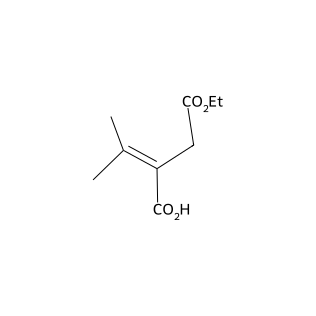 CCOC(=O)CC(C(=O)O)=C(C)C